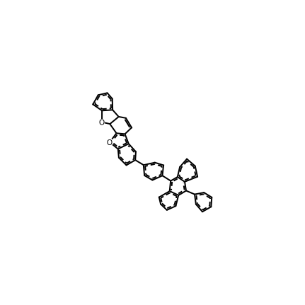 C1=CC2c3ccccc3OC2c2oc3ccc(-c4ccc(-c5c6ccccc6c(-c6ccccc6)c6ccccc56)cc4)cc3c21